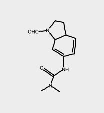 CN(C)C(=O)NC1=CC2C(C=C1)CCN2C=O